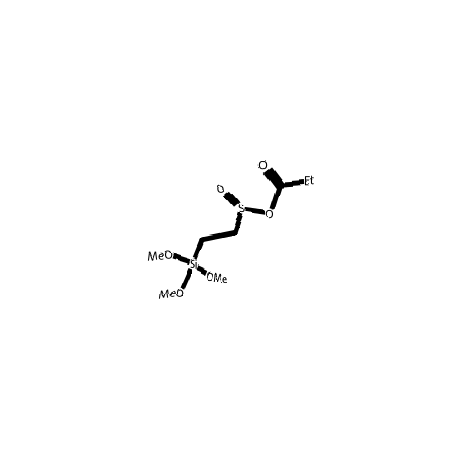 CCC(=O)OS(=O)CC[Si](OC)(OC)OC